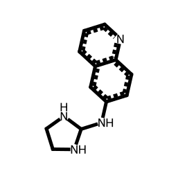 c1cnc2ccc(NC3NCCN3)cc2c1